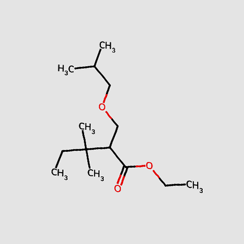 CCOC(=O)C(COCC(C)C)C(C)(C)CC